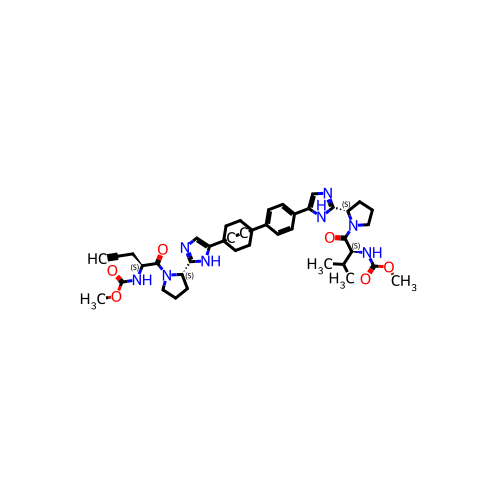 C#CC[C@H](NC(=O)OC)C(=O)N1CCC[C@H]1c1ncc(C23CCC(c4ccc(-c5cnc([C@@H]6CCCN6C(=O)[C@@H](NC(=O)OC)C(C)C)[nH]5)cc4)(CC2)CC3)[nH]1